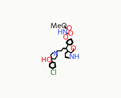 COC(=O)NC(=O)Oc1ccc2c(c1)/C(=C/CCN1CCC(O)(c3ccc(Cl)cc3)CC1)C1=CC=CNC1CO2